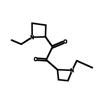 CCN1CCC1C(=O)C(=O)C1CCN1CC